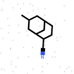 CC1CC2CCC(C#N)C(C1)C2